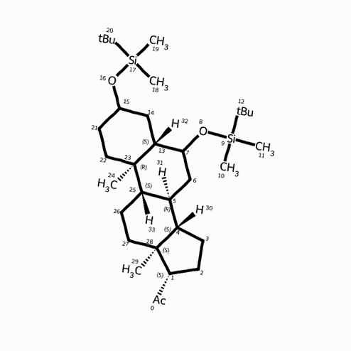 CC(=O)[C@H]1CC[C@H]2[C@@H]3CC(O[Si](C)(C)C(C)(C)C)[C@H]4CC(O[Si](C)(C)C(C)(C)C)CC[C@]4(C)[C@H]3CC[C@]12C